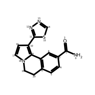 NC(=O)c1ccc2c(c1)-c1c(-c3nncs3)ccn1CC2